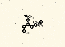 CB(c1ccc(-c2cc(-c3cccc(-c4cccc(C#N)c4)c3)cc(-c3cccc(-c4ccc([Si](C)(C)c5ccccc5)c(C#N)c4)c3)c2)cc1)C1CCC1